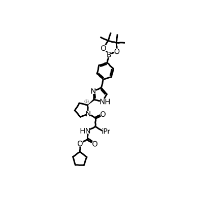 CC(C)C(NC(=O)OC1CCCC1)C(=O)N1CCC[C@H]1c1nc(-c2ccc(B3OC(C)(C)C(C)(C)O3)cc2)c[nH]1